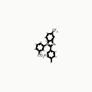 Cc1ccc(-c2nc3cc(C(F)(F)F)ccc3n2-c2cccc(C(=O)O)c2)cc1